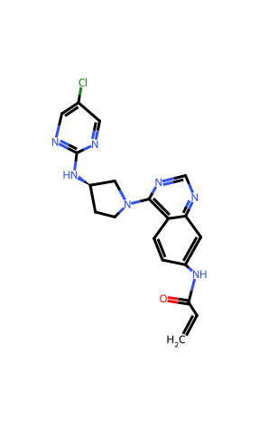 C=CC(=O)Nc1ccc2c(N3CC[C@@H](Nc4ncc(Cl)cn4)C3)ncnc2c1